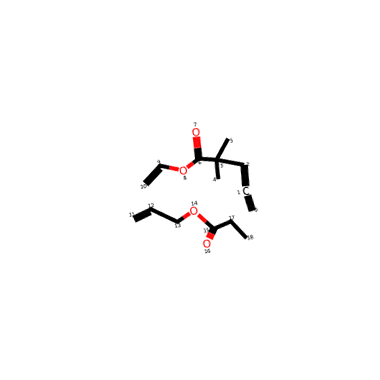 C=C=CC(C)(C)C(=O)OC=C.C=CCOC(=O)CC